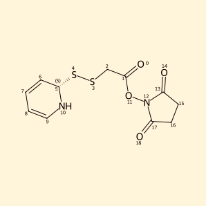 O=C(CSS[C@H]1C=CC=CN1)ON1C(=O)CCC1=O